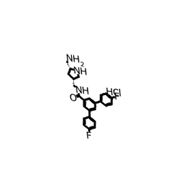 Cl.NC[C@H]1C[C@@H](CNC(=O)c2cc(-c3ccc(F)cc3)cc(-c3ccc(F)cc3)c2)CN1